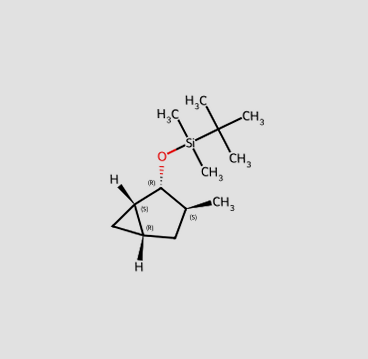 C[C@H]1C[C@@H]2C[C@@H]2[C@@H]1O[Si](C)(C)C(C)(C)C